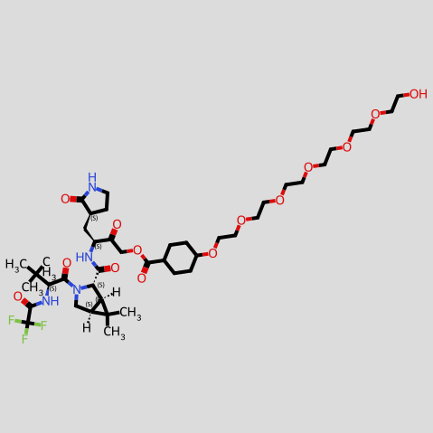 CC(C)(C)[C@H](NC(=O)C(F)(F)F)C(=O)N1C[C@H]2[C@@H]([C@H]1C(=O)N[C@@H](C[C@@H]1CCNC1=O)C(=O)COC(=O)C1CCC(OCCOCCOCCOCCOCCOCCO)CC1)C2(C)C